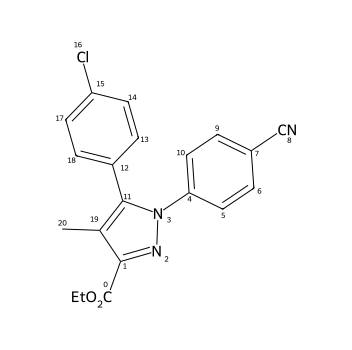 CCOC(=O)c1nn(-c2ccc(C#N)cc2)c(-c2ccc(Cl)cc2)c1C